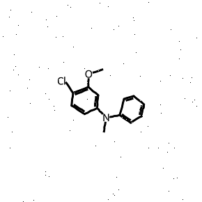 COc1cc(N(C)c2ccccc2)ccc1Cl